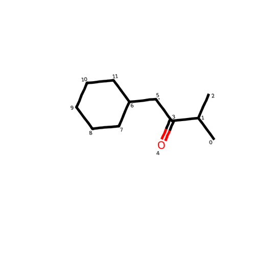 CC(C)C(=O)[CH]C1CCCCC1